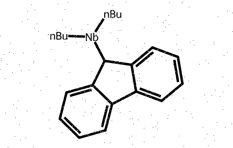 CCC[CH2][Nb]([CH2]CCC)[CH]1c2ccccc2-c2ccccc21